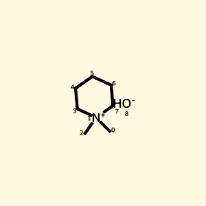 C[N+]1(C)CCCCC1.[OH-]